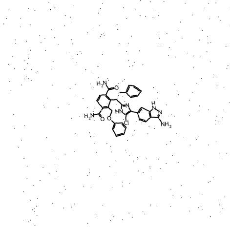 NC(=O)c1ccc(C(N)=O)c([C@H](Cc2ccccc2)c2nc(-c3ccc4c(N)n[nH]c4c3)c(Cl)[nH]2)c1COc1ccccc1